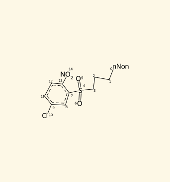 CCCCCCCCCCCCS(=O)(=O)c1cc(Cl)ccc1[N+](=O)[O-]